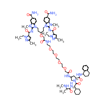 CCn1nc(C)cc1C(=O)N=c1n(C)c2cc(C(N)=O)ccc2n1CCC(CCn1c(=NC(=O)c2cc(C)nn2CC)n(C)c2cc(C(N)=O)ccc21)OCC(=O)NCCOCCOCCOCCOCC(=O)N[C@H]1C[C@@H](C(=O)NC2CCCc3ccccc32)N(C(=O)[C@@H](NC(=O)[C@H](C)NC)C2CCCCC2)C1